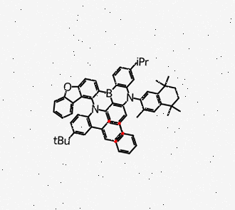 Cc1cc2c(cc1N1c3cc(C(C)C)ccc3B3c4ccc5oc6ccccc6c5c4N(c4ccc(C(C)(C)C)cc4-c4ccccc4)c4cc(-c5ccccc5)cc1c43)C(C)(C)CCC2(C)C